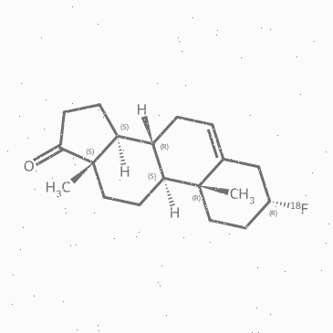 C[C@]12CC[C@@H]([18F])CC1=CC[C@@H]1[C@@H]2CC[C@]2(C)C(=O)CC[C@@H]12